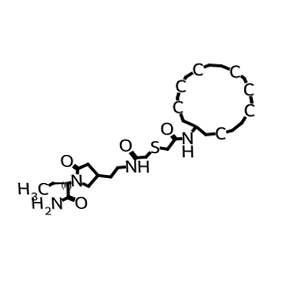 CC[C@H](C(N)=O)N1CC(CCNC(=O)CSCC(=O)NC2CCCCCCCCCCCCCCCCC2)CC1=O